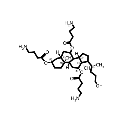 C[C@H](CCCO)C1CC[C@H]2C3C(OC(=O)CCCN)C[C@H]4C[C@H](OC(=O)CCCN)CC[C@]4(C)[C@H]3C[C@H](OC(=O)CCCN)[C@]12C